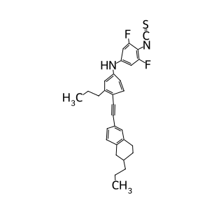 CCCc1cc(Nc2cc(F)c(N=C=S)c(F)c2)ccc1C#Cc1ccc2c(c1)CCC(CCC)C2